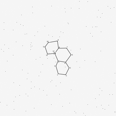 C1CCC2C(C1)CCC1CCCCN12